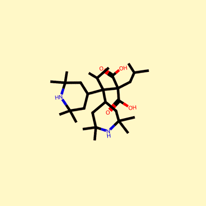 CC(C)CC(C(=O)O)(C(=O)O)C(C(C)C)(C1CC(C)(C)NC(C)(C)C1)C1CC(C)(C)NC(C)(C)C1